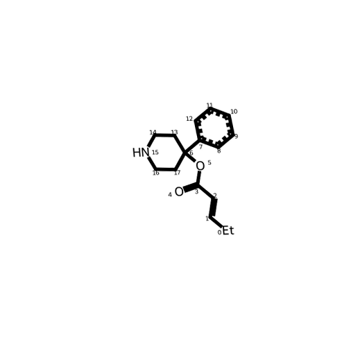 CC/C=C/C(=O)OC1(c2ccccc2)CCNCC1